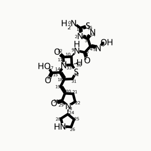 Nc1nc(/C(=N\O)C(=O)N[C@@H]2C(=O)N3C(C(=O)O)=C(/C=C4\CCN([C@@H]5CCNC5)C4=O)CS[C@H]23)ns1